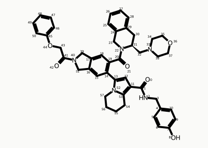 O=C(NCc1ccc(O)cc1)c1cc(-c2cc3c(cc2C(=O)N2Cc4ccccc4C[C@H]2CN2CCOCC2)CN(C(=O)COc2ccccc2)C3)n2c1CCCC2